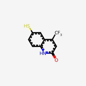 O=c1cc(C(F)(F)F)c2cc(S)ccc2[nH]1